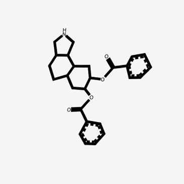 O=C(OC1CC2CCC3CNCC3C2CC1OC(=O)c1ccccc1)c1ccccc1